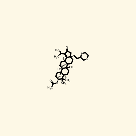 CC(=O)O[C@H]1CC[C@]2(C)[C@H]3CC[C@@H]4C5=C(C(C)C)C(=O)C[C@]5(CCC5CSCCS5)CC[C@@]4(C)[C@]3(C)CC[C@H]2C1(C)C